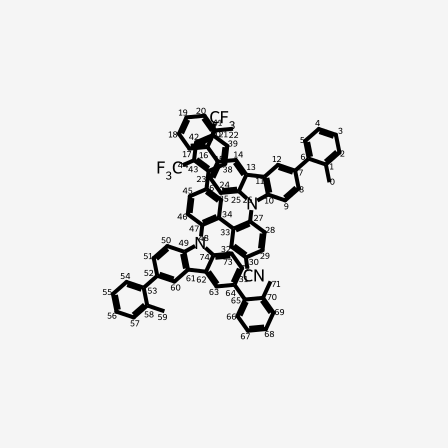 Cc1ccccc1-c1ccc2c(c1)c1cc(-c3ccccc3C)ccc1n2-c1ccc(C#N)cc1-c1cc(-c2ccc(C(F)(F)F)cc2C(F)(F)F)ccc1-n1c2ccc(-c3ccccc3C)cc2c2cc(-c3ccccc3C)ccc21